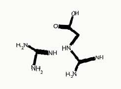 N=C(N)N.N=C(N)NCC(=O)O